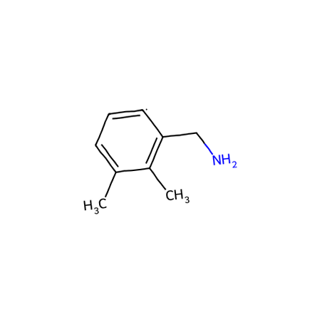 Cc1cc[c]c(CN)c1C